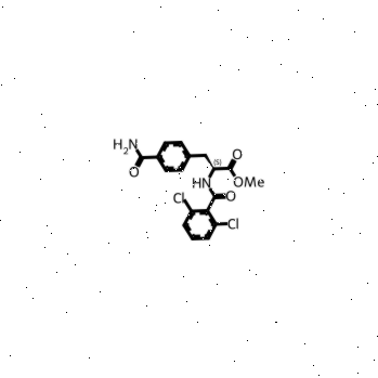 COC(=O)[C@H](Cc1ccc(C(N)=O)cc1)NC(=O)c1c(Cl)cccc1Cl